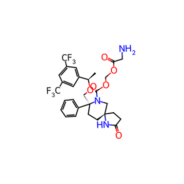 C[C@@H](OC[C@@]1(c2ccccc2)CC[C@]2(CCC(=O)N2)CN1C(=O)OCOC(=O)CN)c1cc(C(F)(F)F)cc(C(F)(F)F)c1